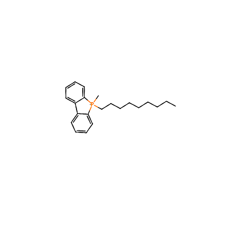 CCCCCCCCC[P]1(C)c2ccccc2-c2ccccc21